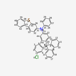 Clc1ccc2c(c1)[Si](c1ccccc1)(c1ccccc1)c1ccc(N(c3ccccc3)c3ccc4c(c3)sc3ccccc34)cc1-2